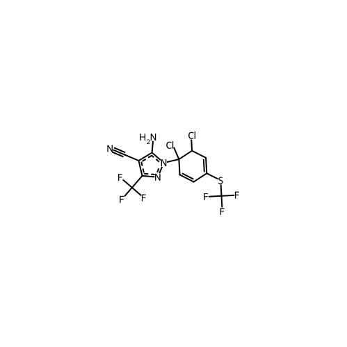 N#Cc1c(C(F)(F)F)nn(C2(Cl)C=CC(SC(F)(F)F)=CC2Cl)c1N